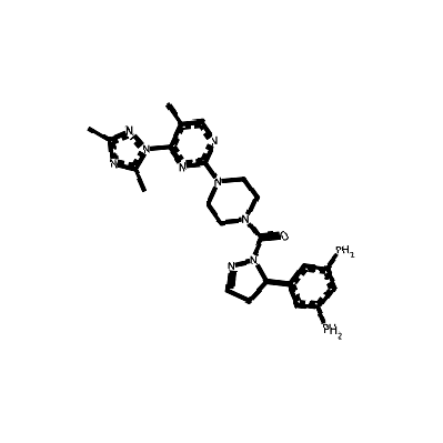 Cc1nc(C)n(-c2nc(N3CCN(C(=O)N4N=CCC4c4cc(P)cc(P)c4)CC3)ncc2C)n1